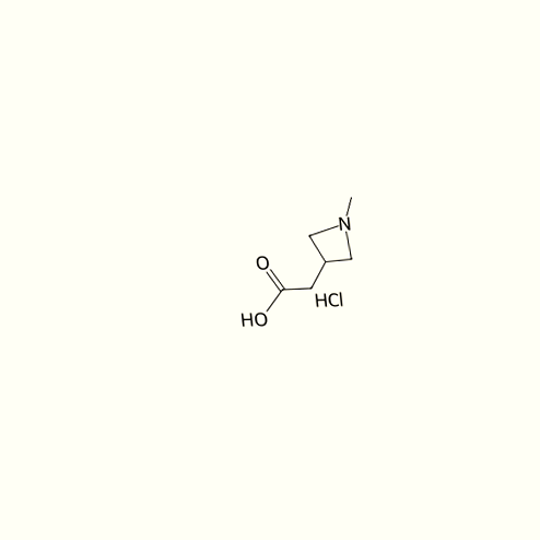 CN1CC(CC(=O)O)C1.Cl